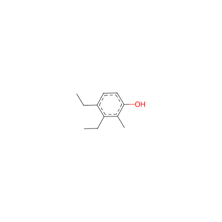 CCc1ccc(O)c(C)c1CC